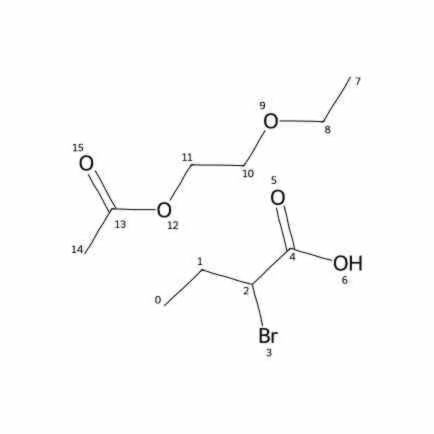 CCC(Br)C(=O)O.CCOCCOC(C)=O